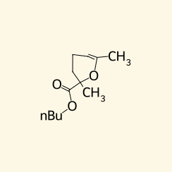 CCCCOC(=O)C1(C)CCC=C(C)O1